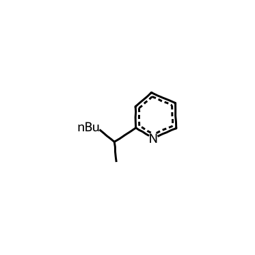 CCCCC(C)c1ccccn1